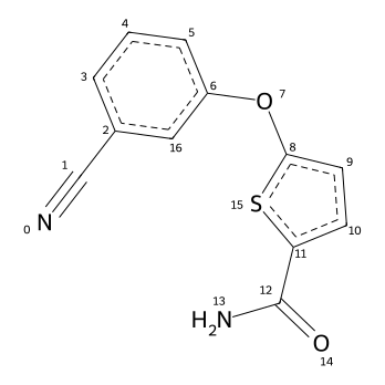 N#Cc1cccc(Oc2ccc(C(N)=O)s2)c1